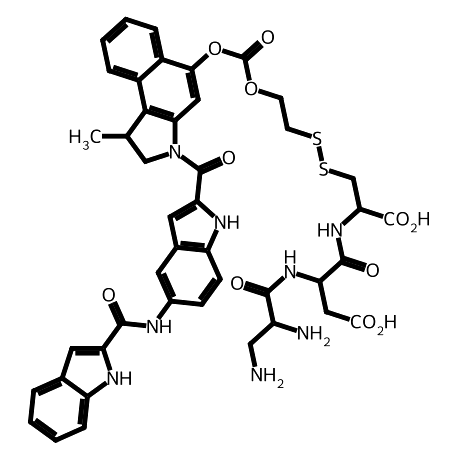 CC1CN(C(=O)c2cc3cc(NC(=O)c4cc5ccccc5[nH]4)ccc3[nH]2)c2cc(OC(=O)OCCSSCC(NC(=O)C(CC(=O)O)NC(=O)C(N)CN)C(=O)O)c3ccccc3c21